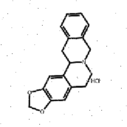 Cl.c1ccc2c(c1)CC1c3cc4c(cc3CCN1C2)OCO4